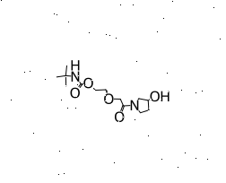 CC(C)(C)NC(=O)OCCOCC(=O)N1CC[C@@H](O)C1